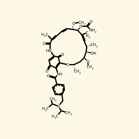 CO[C@H]1/C=C\C=C(/C)C(=O)NC2=CC(=O)C(NC(=O)c3ccc(CN(C(C)C)C(C)C)cc3)=C(C[C@@H](C)C[C@H](OC)[C@H](O)[C@@H](C)/C=C(\C)[C@@H]1OC(N)=O)C2=O